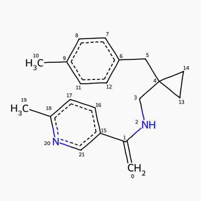 C=C(NCC1(Cc2ccc(C)cc2)CC1)c1ccc(C)nc1